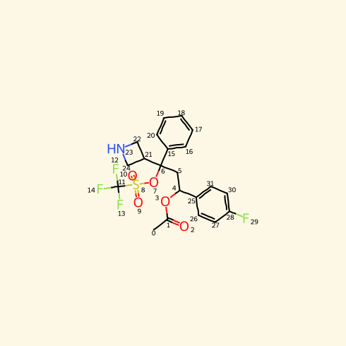 CC(=O)OC(CC(OS(=O)(=O)C(F)(F)F)(c1ccccc1)C1CNC1)c1ccc(F)cc1